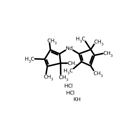 CC1=C(C)C(C)(C)[C]([Nd][C]2=C(C)C(C)=C(C)C2(C)C)=C1C.Cl.Cl.[KH]